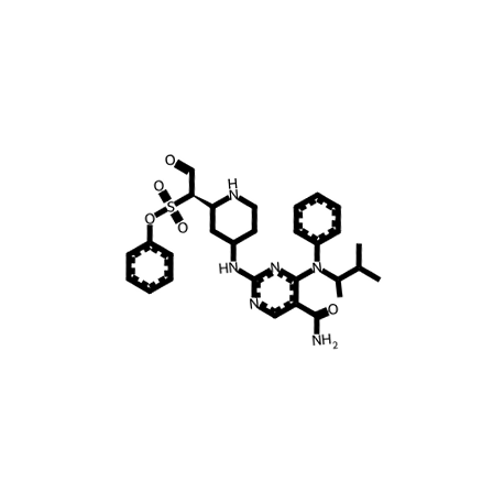 CC(C)C(C)N(c1ccccc1)c1nc(NC2CCNC([C@H](C=O)S(=O)(=O)Oc3ccccc3)C2)ncc1C(N)=O